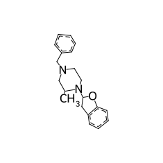 CC1CN(Cc2ccccc2)CCN1C1Cc2ccccc2O1